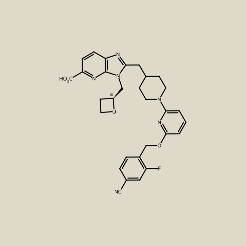 N#Cc1ccc(COc2cccc(N3CCC(Cc4nc5ccc(C(=O)O)nc5n4C[C@@H]4CCO4)CC3)n2)c(F)c1